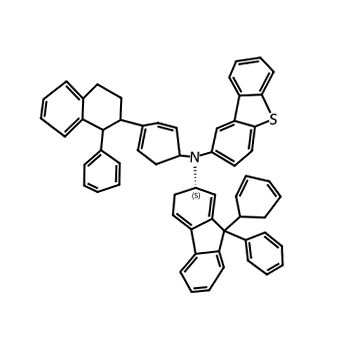 C1=CCC(C2(c3ccccc3)C3=C[C@@H](N(c4ccc5sc6ccccc6c5c4)C4C=CC(C5CCc6ccccc6C5c5ccccc5)=CC4)CC=C3c3ccccc32)C=C1